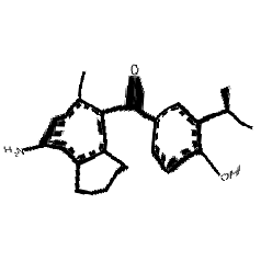 Cc1cc(N)c2c(c1C(=O)c1ccc(O)c(C(C)C)c1)CCC2